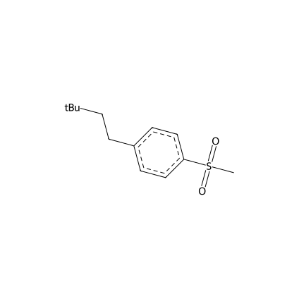 CC(C)(C)CCc1ccc(S(C)(=O)=O)cc1